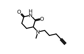 C#CCCCN(C)C1CCC(=O)NC1=O